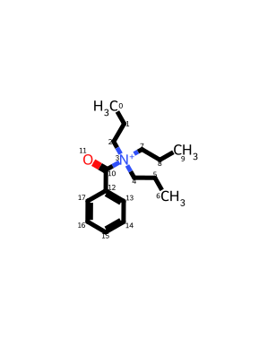 CCC[N+](CCC)(CCC)C(=O)c1ccccc1